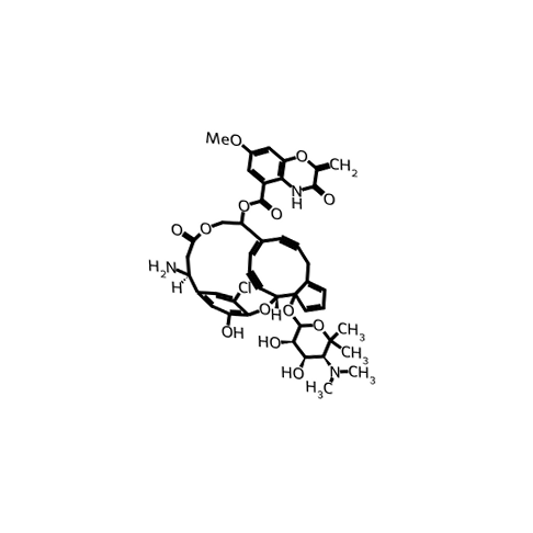 C=C1Oc2cc(OC)cc(C(=O)OC3COC(=O)C[C@H](N)c4cc(O)c(c(Cl)c4)O[C@@H]4C#C/C=C/3C#CCC3=CC=CC34OC3OC(C)(C)[C@@H](N(C)C)[C@@H](O)[C@H]3O)c2NC1=O